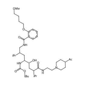 COCCCCOc1ccccc1C(=O)NCC(CC(NC(=O)OC(C)(C)C)C(O)CC(C(=O)NCCN1CCC(C(C)=O)CC1)C(C)C)C(C)C